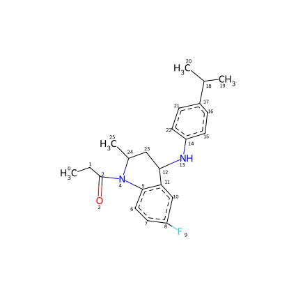 CCC(=O)N1c2ccc(F)cc2C(Nc2ccc(C(C)C)cc2)CC1C